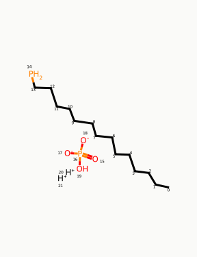 CCCCCCCCCCCCCCP.O=P([O-])([O-])O.[H+].[H+]